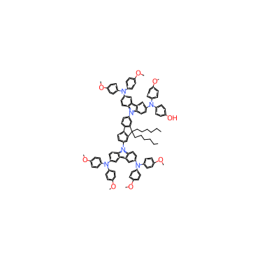 CCCCCCC1(CCCCCC)c2cc(-n3c4ccc(N(c5ccc(O)cc5)c5ccc(OC)cc5)cc4c4cc(N(c5ccc(OC)cc5)c5ccc(OC)cc5)ccc43)ccc2-c2ccc(-n3c4ccc(N(c5ccc(OC)cc5)c5ccc(OC)cc5)cc4c4cc(N(c5ccc(OC)cc5)c5ccc(OC)cc5)ccc43)cc21